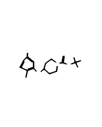 Cc1ccc(N)cc1OC1CCN(C(=O)OC(C)(C)C)CC1